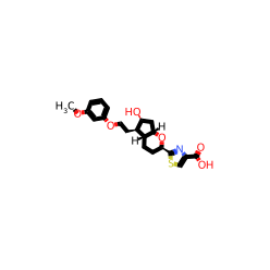 COc1cccc(OCC[C@@H]2[C@H]3CC[C@H](c4nc(C(=O)O)cs4)O[C@H]3C[C@H]2O)c1